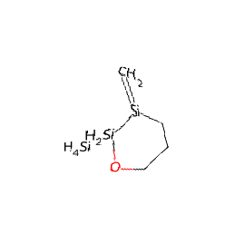 C=[Si]1CCCO[SiH2]1.[SiH4]